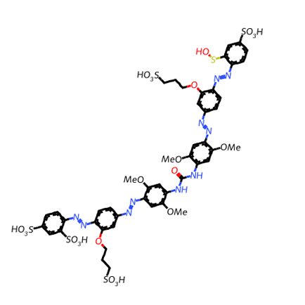 COc1cc(NC(=O)Nc2cc(OC)c(N=Nc3ccc(N=Nc4ccc(S(=O)(=O)O)cc4S(=O)(=O)O)c(OCCCS(=O)(=O)O)c3)cc2OC)c(OC)cc1N=Nc1ccc(N=Nc2ccc(S(=O)(=O)O)cc2SO)c(OCCCS(=O)(=O)O)c1